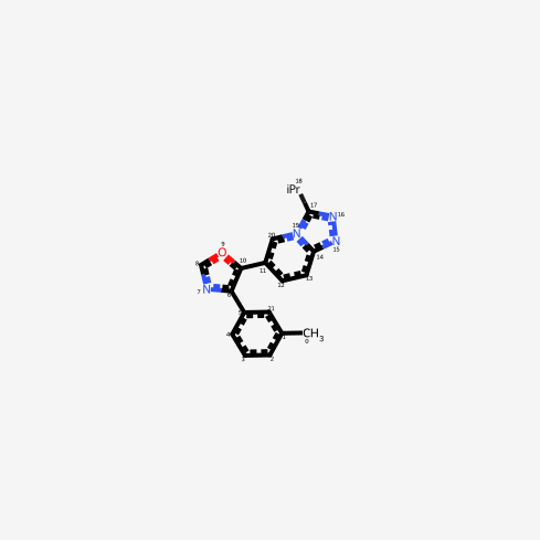 Cc1cccc(-c2ncoc2-c2ccc3nnc(C(C)C)n3c2)c1